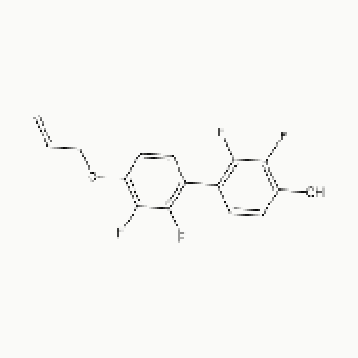 C=CCOc1ccc(-c2ccc(O)c(F)c2F)c(F)c1F